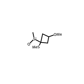 COC1CC(SC)([S+](C)[O-])C1